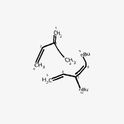 C=CC(=C)C.C=CC(=CCCCC)CCCC